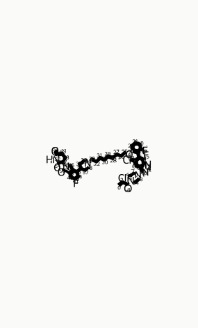 C=C(Cl)C(=O)N1CCN(c2ncnc3c(F)c(-c4c(F)cccc4OCCCCCCCCCN4CCC(c5cc(F)cc6c5CN(C5CCC(=O)NC5=O)C6=O)CC4)c(Cl)cc23)CC1